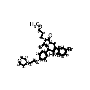 COCCCN1C(=O)C2Cc3c([nH]c4ccc(Br)cc34)C(c3ccc(OCCN4CCOCC4)cc3)N2C1=S